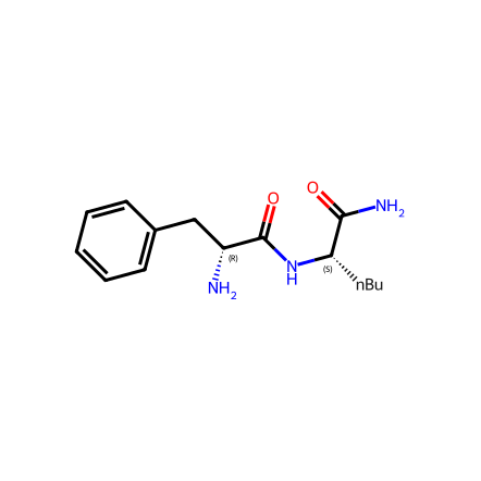 CCCC[C@H](NC(=O)[C@H](N)Cc1ccccc1)C(N)=O